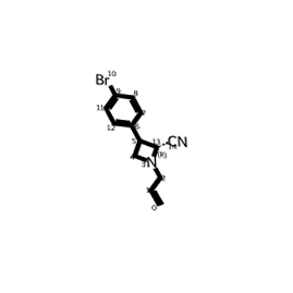 C=CCN1CC(c2ccc(Br)cc2)[C@@H]1C#N